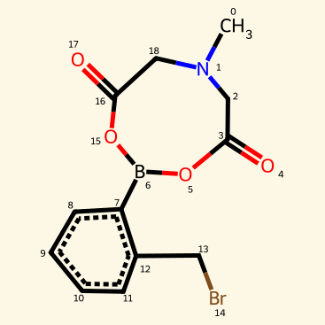 CN1CC(=O)OB(c2ccccc2CBr)OC(=O)C1